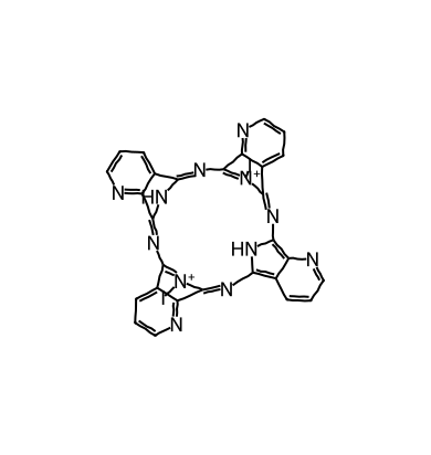 I[n+]1c2nc3[nH]c(nc4[n+](I)c(nc5[nH]c(nc1-c1ncccc1-2)c1cccnc51)-c1cccnc1-4)c1cccnc31